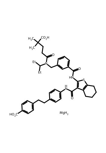 CCC(CC)N(Cc1cccc(C(=O)Nc2sc3c(c2C(=O)Nc2ccc(CCc4ccc(C(=O)O)cc4)cc2)CCCC3)c1)C(=O)CCC(C)(C)C(=O)O.[MgH2]